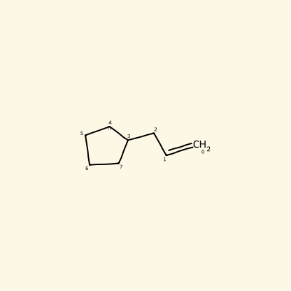 C=CCC1[C]CCC1